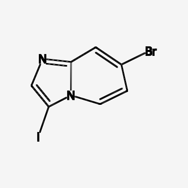 Brc1ccn2c(I)cnc2c1